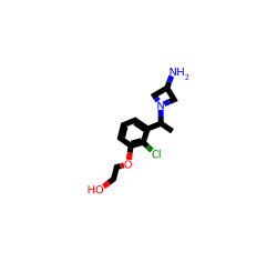 CC(c1cccc(OCCO)c1Cl)N1CC(N)C1